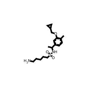 Cc1ccc(C(C)NS(=O)(=O)CCCCCN)cc1OCC1CC1